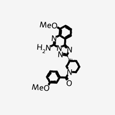 COc1cccc(C(=O)N2CCC[C@@H](c3nc4c5cccc(OC)c5nc(N)n4n3)C2)c1